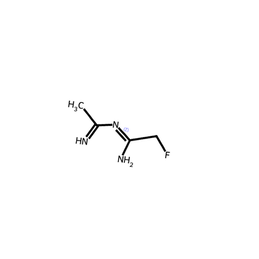 CC(=N)/N=C(\N)CF